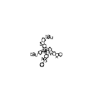 CC(C)(C)c1ccc(Nc2cc3sc4ccc(C(C)(C)C)cc4c3cc2-c2ccc3c4cc5c(cc4n4c3c2Bc2cc3nc(-c6ccccc6)sc3cc2-4)C(C)(C)c2ccccc2-5)cc1